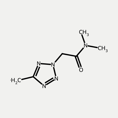 [CH2]c1nnn(CC(=O)N(C)C)n1